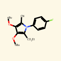 CCCCOc1c(OCCCC)c(C(=O)OCC)n(-c2ccc(F)cc2)c1C#N